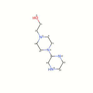 OCCN1CCN(C2CNCC[N]2)CC1